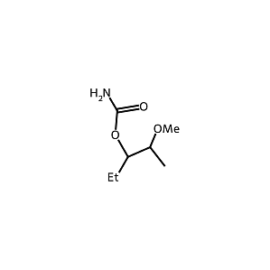 CCC(OC(N)=O)C(C)OC